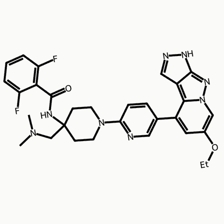 CCOc1cc(-c2ccc(N3CCC(CN(C)C)(NC(=O)c4c(F)cccc4F)CC3)nc2)c2c3cn[nH]c3nn2c1